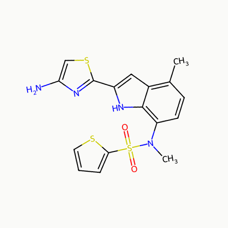 Cc1ccc(N(C)S(=O)(=O)c2cccs2)c2[nH]c(-c3nc(N)cs3)cc12